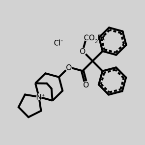 CCOC(=O)OC(C(=O)OC1CC2CCC(C1)[N+]21CCCC1)(c1ccccc1)c1ccccc1.[Cl-]